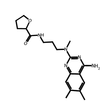 Cc1cc2nc(N(C)CCCNC(=O)C3CCCO3)nc(N)c2cc1C